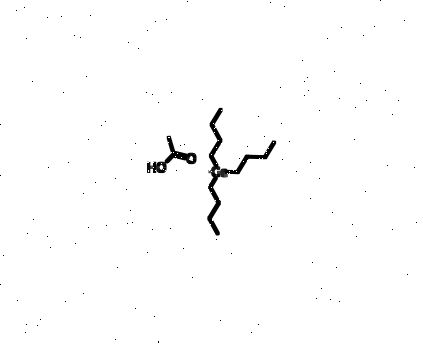 CC(=O)O.CCC[CH2][Ge]([CH2]CCC)[CH2]CCC